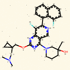 CN(C)CC1(COc2nc(N3CCCC(C)(O)C3)c3cnc(-c4cccc5cccc(F)c45)c(F)c3n2)CC1